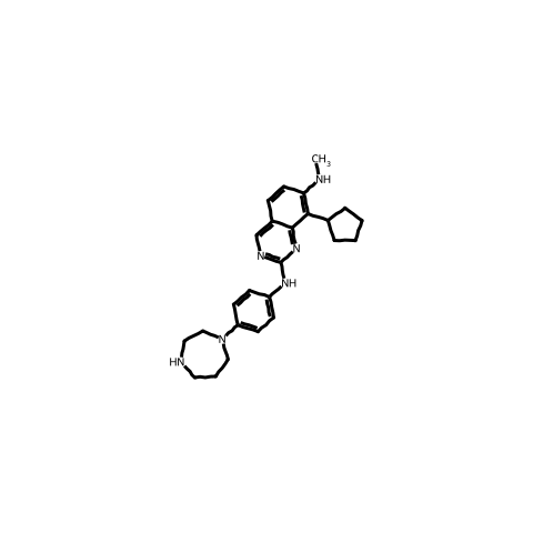 CNc1ccc2cnc(Nc3ccc(N4CCCNCC4)cc3)nc2c1C1CCCC1